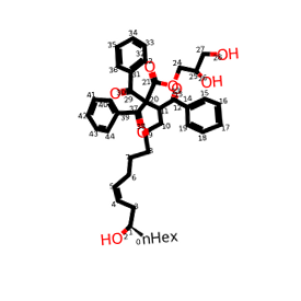 CCCCCC[C@@H](O)C/C=C\CCCCCC(C(=O)c1ccccc1)C(C(=O)OCC(O)CO)(C(=O)c1ccccc1)C(=O)c1ccccc1